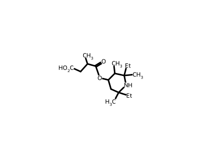 CCC1(C)CC(OC(=O)C(C)CC(=O)O)C(C)C(C)(CC)N1